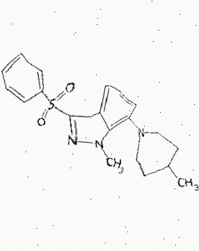 CC1CCN(c2cccc3c(S(=O)(=O)c4ccccc4)nn(C)c23)CC1